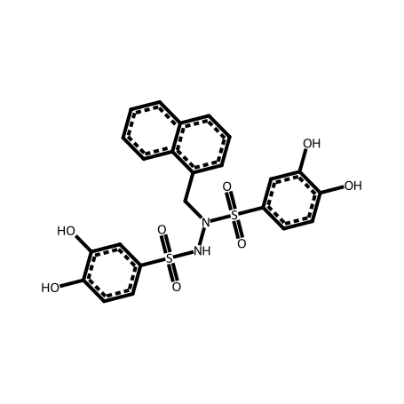 O=S(=O)(NN(Cc1cccc2ccccc12)S(=O)(=O)c1ccc(O)c(O)c1)c1ccc(O)c(O)c1